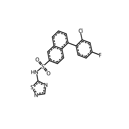 O=S(=O)(Nc1ncns1)c1ccc2c(-c3ccc(F)cc3Cl)cccc2c1